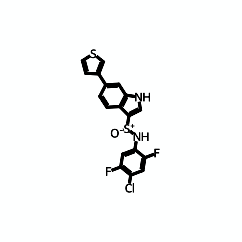 [O-][S+](Nc1cc(F)c(Cl)cc1F)c1c[nH]c2cc(-c3ccsc3)ccc12